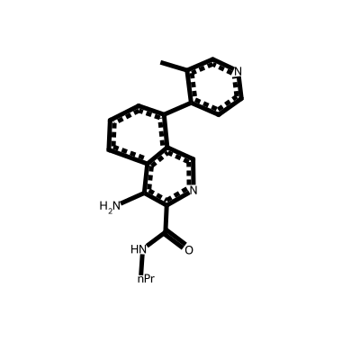 CCCNC(=O)c1ncc2c(-c3ccncc3C)cccc2c1N